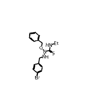 CCNC(=S)N(NCc1ccc(Br)cc1)OCc1ccccc1